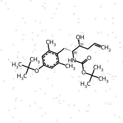 C=CC[C@H](O)[C@@H](Cc1c(C)cc(OC(C)(C)C)cc1C)NC(=O)OC(C)(C)C